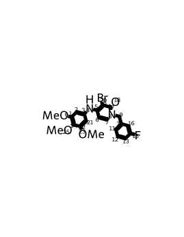 COc1cc(Nc2ccn(Cc3cccc(F)c3)c(=O)c2Br)cc(OC)c1OC